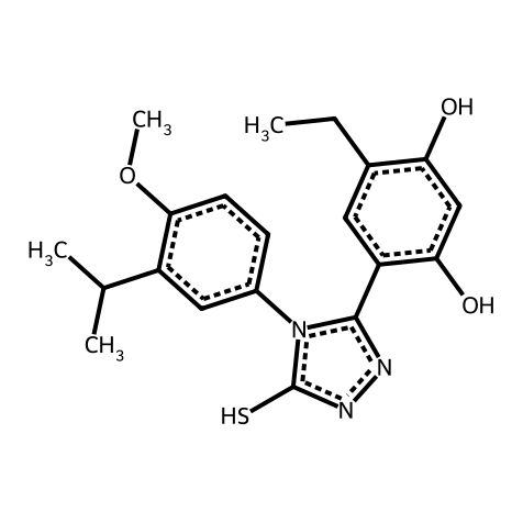 CCc1cc(-c2nnc(S)n2-c2ccc(OC)c(C(C)C)c2)c(O)cc1O